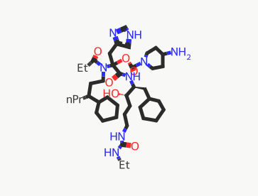 CCCC(CCN(C(=O)CC)C(Cc1c[nH]cn1)(OC(=O)N1CCC(N)CC1)C(=O)N[C@@H](CC1CCCCC1)[C@@H](O)CCCNC(=O)NCC)C1CCCCC1